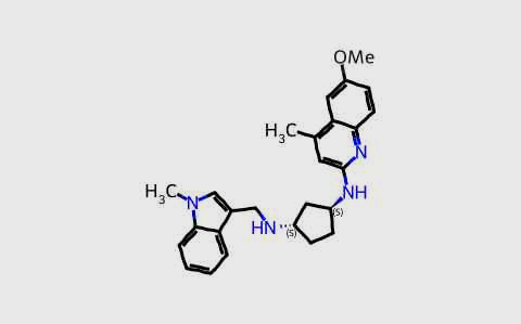 COc1ccc2nc(N[C@H]3CC[C@H](NCc4cn(C)c5ccccc45)C3)cc(C)c2c1